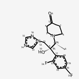 C[C@@H](N1CCC(=O)CC1)[C@](O)(Cn1cncn1)c1ccc(F)cc1F